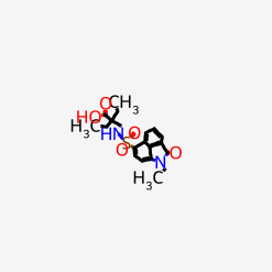 CCN1C(=O)c2cccc3c(S(=O)(=O)NCC(CC)(CC)C(=O)O)ccc1c23